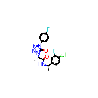 C[C@H](NC(=O)[C@H](C)n1nnn(-c2ccc(F)cc2)c1=O)c1ccc(Cl)c(F)c1